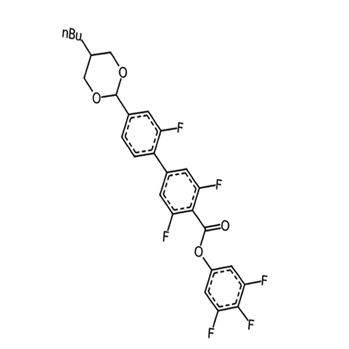 CCCCC1COC(c2ccc(-c3cc(F)c(C(=O)Oc4cc(F)c(F)c(F)c4)c(F)c3)c(F)c2)OC1